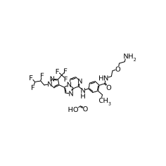 CCc1cc(Nc2nccn3c(-c4cn(CC(F)C(F)F)nc4C(F)(F)F)cnc23)ccc1C(=O)NCCOCCN.O=CO